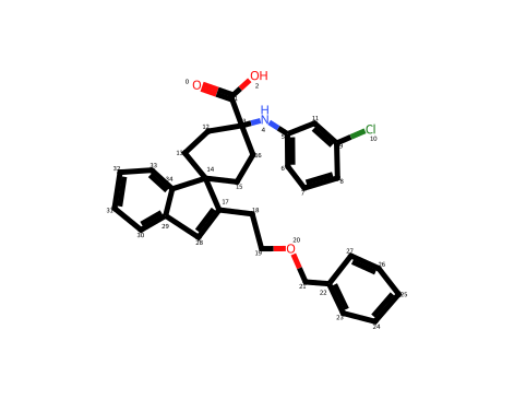 O=C(O)C1(Nc2cccc(Cl)c2)CCC2(CC1)C(CCOCc1ccccc1)=Cc1ccccc12